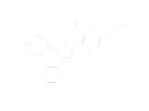 CCOc1cc(C#CC(C)(C)C)ccc1C1=NC(c2ccc(Cl)cc2)C(c2ccc(Cl)cc2)N1